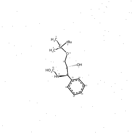 CC(C)(C)[Si](C)(C)OC[C@H](O)[C@H](NC(=O)O)c1ccccc1